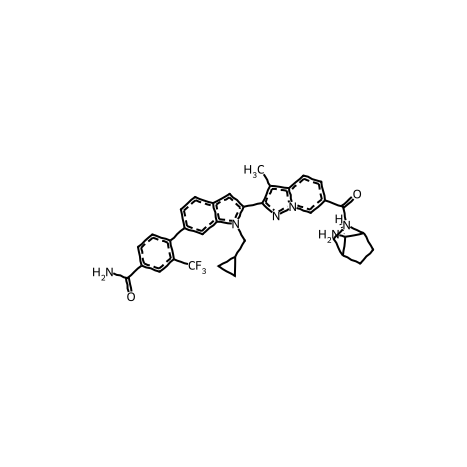 Cc1c(-c2cc3ccc(-c4ccc(C(N)=O)cc4C(F)(F)F)cc3n2CC2CC2)nn2cc(C(=O)N3CC4CCC3[C@@H]4N)ccc12